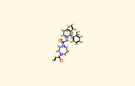 C=CC(=O)N1CCCN(C(=O)CN2CCc3sccc3C2c2ccccc2C)CC1